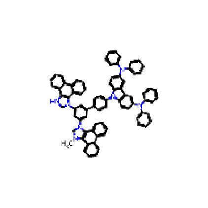 CN1CN(c2cc(-c3ccc(-n4c5ccc(N(c6ccccc6)c6ccccc6)cc5c5cc(N(c6ccccc6)c6ccccc6)ccc54)cc3)cc(N3CNc4c3c3ccccc3c3ccccc43)c2)c2c1c1ccccc1c1ccccc21